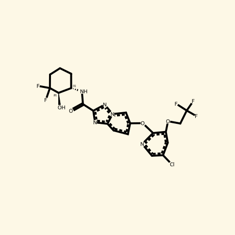 O=C(N[C@H]1CCCC(F)(F)[C@@H]1O)c1nc2ccc(Oc3ncc(Cl)cc3OCC(F)(F)F)cn2n1